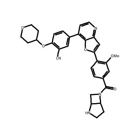 COc1cc(C(=O)N2CC3NCCC32)ccc1-c1cc2nccc(-c3ccc(OC4CCOCC4)c(C#N)c3)c2o1